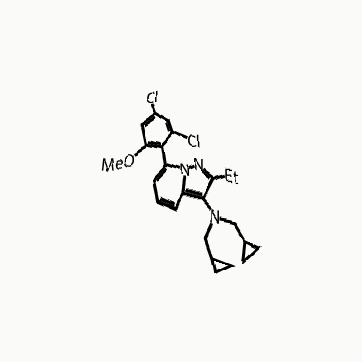 CCc1nn2c(-c3c(Cl)cc(Cl)cc3OC)cccc2c1N(CC1CC1)CC1CC1